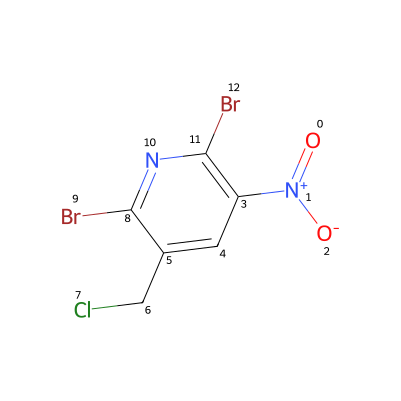 O=[N+]([O-])c1cc(CCl)c(Br)nc1Br